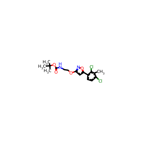 Cc1c(Cl)ccc(-c2cc(OCCNC(=O)OC(C)(C)C)no2)c1Cl